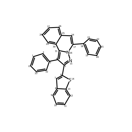 c1ccc(-c2c(-c3cc4ccccc4s3)nn3c(-c4ccccc4)cc4ccccc4c23)cc1